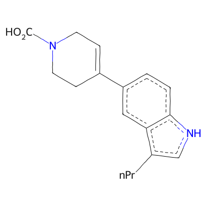 CCCc1c[nH]c2ccc(C3=CCN(C(=O)O)CC3)cc12